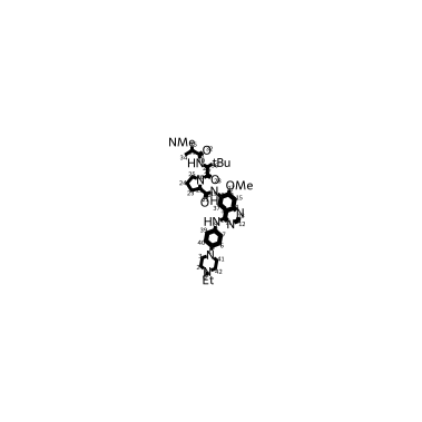 CCN1CCN(c2ccc(Nc3ncnc4cc(OC)c(NC(=O)C5CCCN5C(=O)C(NC(=O)C(C)NC)C(C)(C)C)cc34)cc2)CC1